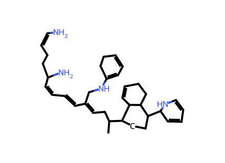 CC(C/C=C(/C=C/C=C\C(N)CC/C=C\N)CNC1=CC=CCC1)C1CCC(C2C=CC=CN2)C2CCC=CC12